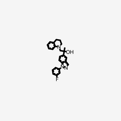 CC(O)(CN1CCCc2ccccc21)c1ccc2c(cnn2-c2cccc(F)c2)c1